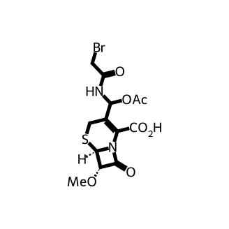 CO[C@H]1C(=O)N2C(C(=O)O)=C(C(NC(=O)CBr)OC(C)=O)CS[C@H]12